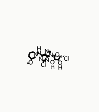 COC1CCCN(Nc2nc(Cl)nc3c2ncn3[C@@H]2O[C@H](CCl)C(O)C2O)C1